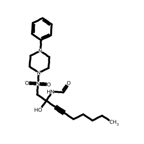 CCCCCC#CC(O)(CS(=O)(=O)N1CCN(c2ccccc2)CC1)NC=O